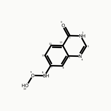 O=c1[nH]cnc2cc(BOO)ccc12